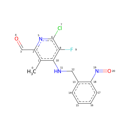 Cc1c(C=O)nc(Cl)c(F)c1NCc1ccccc1N=O